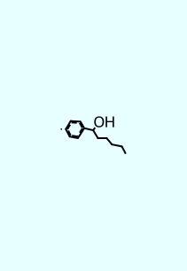 CCCCCC(O)c1cc[c]cc1